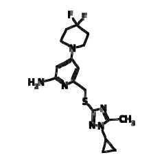 Cc1nc(SCc2cc(N3CCC(F)(F)CC3)cc(N)n2)nn1C1CC1